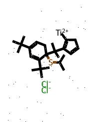 CC(C)SC1(C(C)(C)C2=[C]([Ti+2])CC=C2)CC=C(C(C)(C)C)C=C1C(C)(C)C.[Cl-].[Cl-]